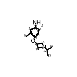 Cc1cc(N)ccc1OC1CN(C(C)C)C1